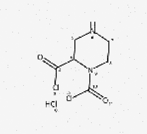 Cl.O=C(Cl)C1CNCCN1C(=O)Cl